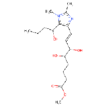 CCCC(O)c1c(/C=C/C(O)C(O)CCCC(=O)OC)nc(C)n1C